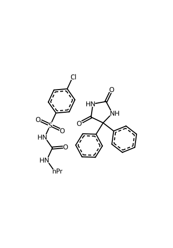 CCCNC(=O)NS(=O)(=O)c1ccc(Cl)cc1.O=C1NC(=O)C(c2ccccc2)(c2ccccc2)N1